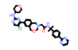 CC(C)(NC(=O)CN1COCc2cc(-c3nc(NC4CCOCC4)ncc3Cl)ccc2C1)c1ccc(-c2ncccn2)cc1